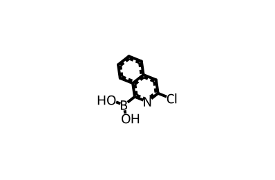 OB(O)c1nc(Cl)cc2ccccc12